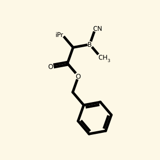 CB(C#N)C(C(=O)OCc1ccccc1)C(C)C